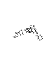 CC(C)(C)OC(=O)N1CCC(OCc2nc3cc(OCC4CCOCC4)cc(F)c3c(=O)[nH]2)CC1